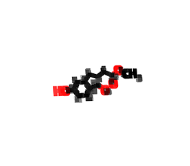 COC(=O)CC1Cc2cc(O)ccc2C1=O